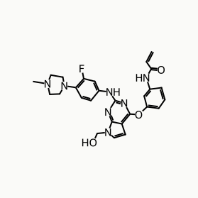 C=CC(=O)Nc1cccc(Oc2nc(Nc3ccc(N4CCN(C)CC4)c(F)c3)nc3c2ccn3CO)c1